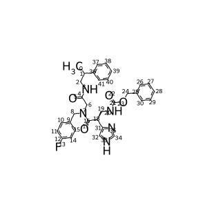 CC(CNC(=O)CN(Cc1ccc(F)cc1)C(=O)[C@@H](CNC(=O)OCc1ccccc1)c1c[nH]cn1)c1ccccc1